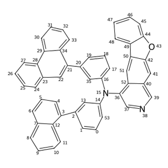 c1cc(-c2cccc3ccccc23)cc(N(c2cccc(-c3cc4ccccc4c4ccccc34)c2)c2cncc3cc4oc5ccccc5c4cc23)c1